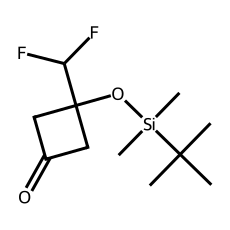 CC(C)(C)[Si](C)(C)OC1(C(F)F)CC(=O)C1